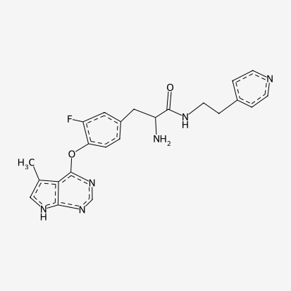 Cc1c[nH]c2ncnc(Oc3ccc(CC(N)C(=O)NCCc4ccncc4)cc3F)c12